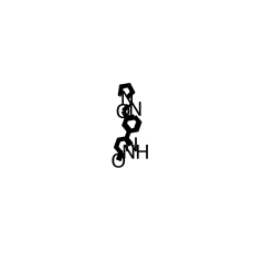 O=C1CCC(c2ccc3nc(N4CCCC4)oc3c2)=NN1